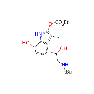 CCOC(=O)Oc1[nH]c2c(O)ccc(C(O)CNC(C)(C)C)c2c1C